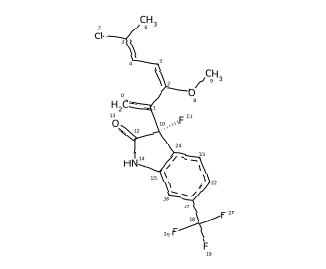 C=C(/C(=C\C=C(/C)Cl)OC)[C@]1(F)C(=O)Nc2cc(C(F)(F)F)ccc21